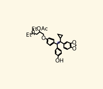 CCN(CC)CC(COc1ccc(/C(=C(/c2ccc3c(c2)OCO3)C2CC2)c2ccc(O)cc2)cc1)OC(C)=O